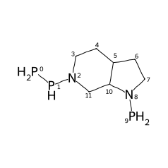 PPN1CCC2CCN(P)C2C1